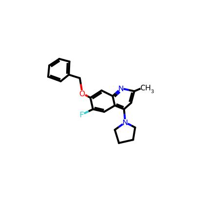 Cc1cc(N2CCCC2)c2cc(F)c(OCc3ccccc3)cc2n1